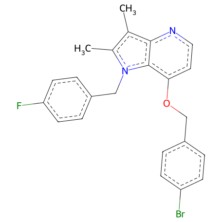 Cc1c(C)n(Cc2ccc(F)cc2)c2c(OCc3ccc(Br)cc3)ccnc12